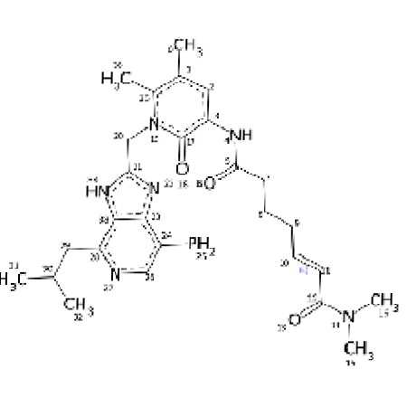 Cc1cc(NC(=O)CCC/C=C/C(=O)N(C)C)c(=O)n(Cc2nc3c(P)cnc(CC(C)C)c3[nH]2)c1C